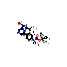 CC(C)c1nc(Br)c2cncc(C3=CCC(N(C)C(=O)OC(C)(C)C)CC3)n12